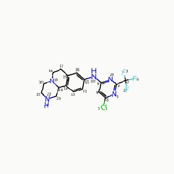 FC(F)(F)c1nc(Cl)cc(Nc2ccc3c(c2)CCN2CCNCC32)n1